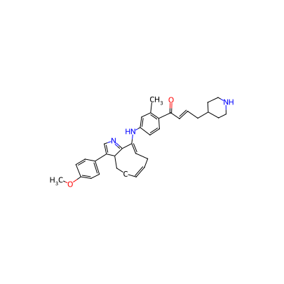 COc1ccc(C2=CN=C3/C(Nc4ccc(C(=O)/C=C/CC5CCNCC5)c(C)c4)=C/C/C=C\CCC23)cc1